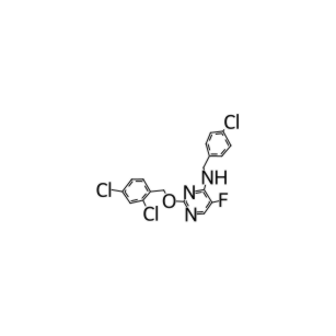 Fc1cnc(OCc2ccc(Cl)cc2Cl)nc1NCc1ccc(Cl)cc1